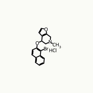 CN1Cc2occc2C(Oc2ccc3ccccc3c2Br)C1.Cl